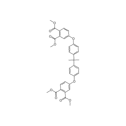 COC(=O)c1ccc(Oc2ccc(C(C)(C)c3ccc(Oc4ccc(C(=O)OC)c(C(=O)OC)c4)cc3)cc2)cc1C(=O)OC